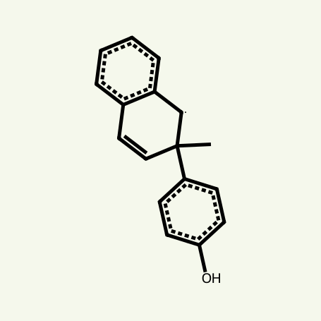 CC1(c2ccc(O)cc2)[CH]c2ccccc2C=C1